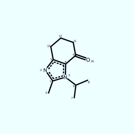 Cc1nc2c(n1C(C)C)C(=O)CCC2